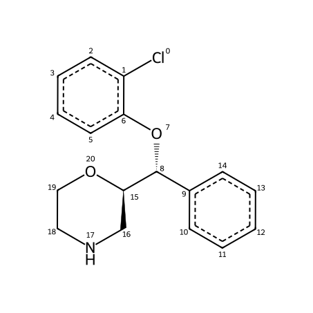 Clc1ccccc1O[C@H](c1ccccc1)[C@H]1CNCCO1